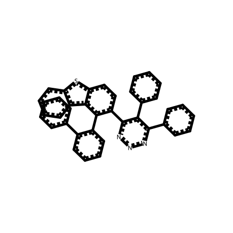 c1ccc(-c2ccccc2-c2c(-c3nnnc(-c4ccccc4)c3-c3ccccc3)ccc3sc4ccccc4c23)cc1